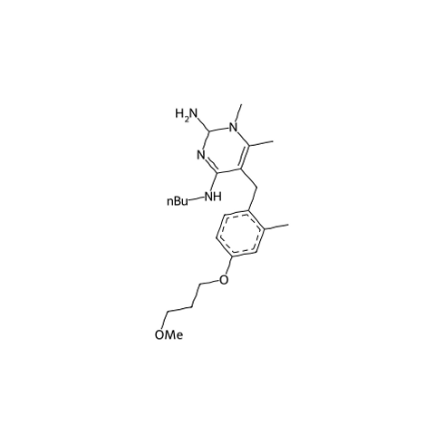 CCCCNC1=NC(N)N(C)C(C)=C1Cc1ccc(OCCCOC)cc1C